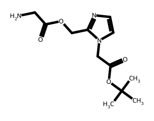 CC(C)(C)OC(=O)Cn1ccnc1COC(=O)CN